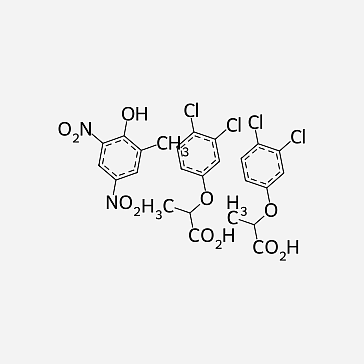 CC(Oc1ccc(Cl)c(Cl)c1)C(=O)O.CC(Oc1ccc(Cl)c(Cl)c1)C(=O)O.Cc1cc([N+](=O)[O-])cc([N+](=O)[O-])c1O